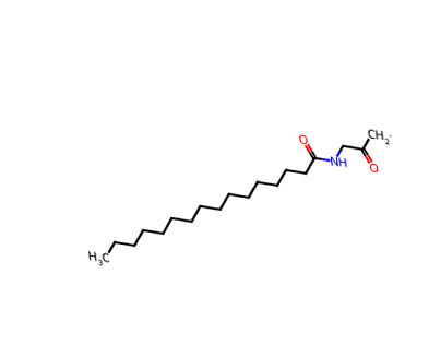 [CH2]C(=O)CNC(=O)CCCCCCCCCCCCCCC